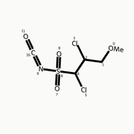 COCC(Cl)C(Cl)S(=O)(=O)N=C=O